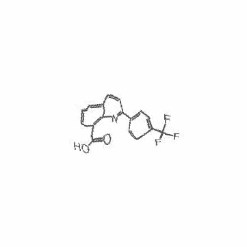 O=C(O)c1cccc2ccc(-c3ccc(C(F)(F)F)cc3)nc12